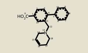 O=C(O)c1ccc(-c2ccccc2)c(CN2CC=CCC2)c1